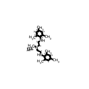 Cc1cc(C)c(NCCN(C)CCNc2c(C)cc(C)cc2C)c(C)c1.[Cl-].[Cl-].[Tc+2]